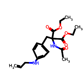 C=CCNc1ccc(CC(NC(C)=O)(C(=O)OCC)C(=O)OCC)cc1